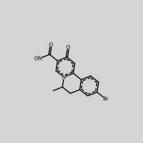 CC1Cc2cc(Br)ccc2-c2cc(=O)c(C(=O)N=O)cn21